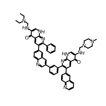 CCN(CC)CNc1c[nH]c2nc(-c3ccccc3)c(-c3ccc4ncc(-c5cccc(-c6nc7[nH]cc(NCN8CCN(C)CC8)c(=O)c7cc6-c6ccc7ncccc7c6)c5)cc4c3)cc2c1=O